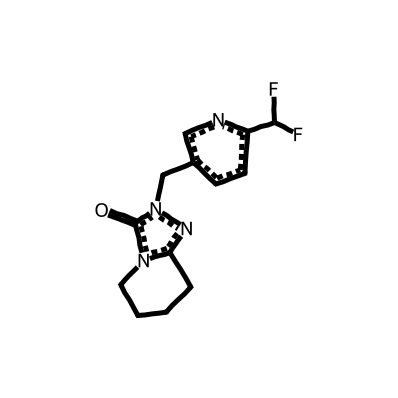 O=c1n(Cc2ccc(C(F)F)nc2)nc2n1CCCC2